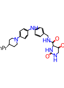 CCCC1CCN(c2ccc(Nc3ccc(CNC(=O)C4NC(=O)NCC4=O)cc3)cc2)CC1